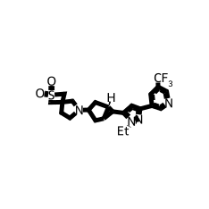 CCn1nc(-c2cncc(C(F)(F)F)c2)cc1C1C2CC(N3CCC4(C3)CS(=O)(=O)C4)C[C@H]21